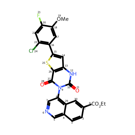 CCOC(=O)c1ccc2cncc(-n3c(=O)[nH]c4cc(-c5cc(OC)c(F)cc5Cl)sc4c3=O)c2c1